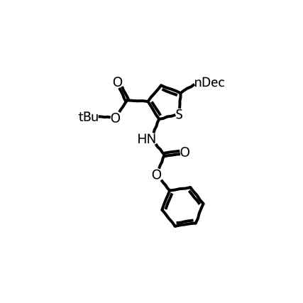 CCCCCCCCCCc1cc(C(=O)OC(C)(C)C)c(NC(=O)Oc2ccccc2)s1